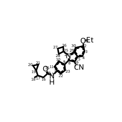 CCOc1ccc2c(C#N)c(-c3ccc(NC(=O)CC(C)C4CC4)cc3)n(C3CCC3)c2c1